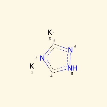 [K].[K].c1nc[nH]n1